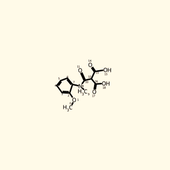 COc1ccccc1N(C)C(=O)C(C(=O)O)C(=O)O